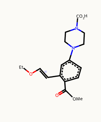 CCO/C=C/c1cc(N2CCN(C(=O)O)CC2)ccc1C(=O)OC